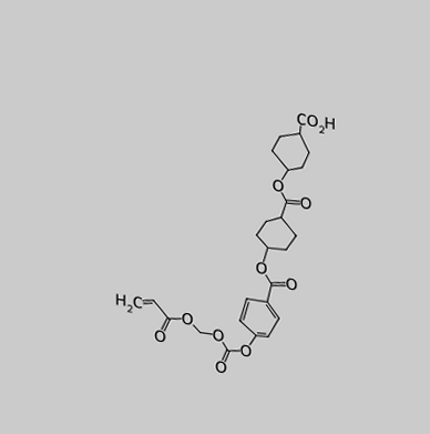 C=CC(=O)OCOC(=O)Oc1ccc(C(=O)OC2CCC(C(=O)OC3CCC(C(=O)O)CC3)CC2)cc1